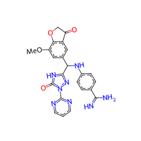 COc1cc(C(Nc2ccc(C(=N)N)cc2)c2nn(-c3ncccn3)c(=O)[nH]2)cc2c1OCC2=O